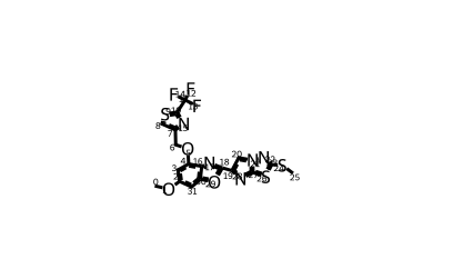 COc1cc(OCc2csc(C(F)(F)F)n2)c2nc(-c3cn4nc(SC)sc4n3)oc2c1